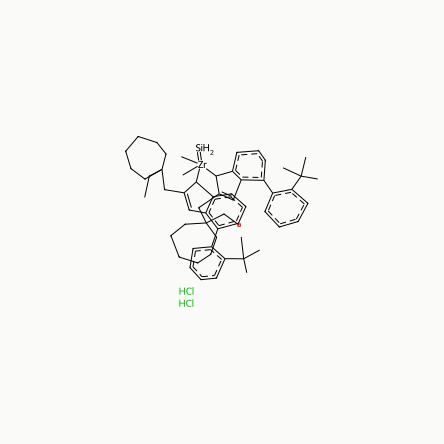 CCC1(CC2=Cc3c(-c4ccccc4C(C)(C)C)cccc3[CH]2[Zr]([CH3])([CH3])(=[SiH2])[CH]2C(CC3(CC)CCCCCC3)=Cc3c(-c4ccccc4C(C)(C)C)cccc32)CCCCCC1.Cl.Cl